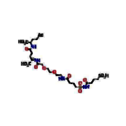 CC(=O)CCC(NC(=O)CC[C@H](NC(=O)COCCOCCNC(=O)CCCS(=O)(=O)NC(=O)CCCS(=O)(=O)O)C(=O)O)C(=O)O